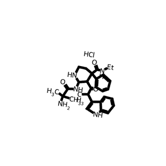 CCNC(=O)C1(c2ccccc2)CCNC(NC(=O)C(C)(C)N)C1C(=O)C(C)c1c[nH]c2ccccc12.Cl